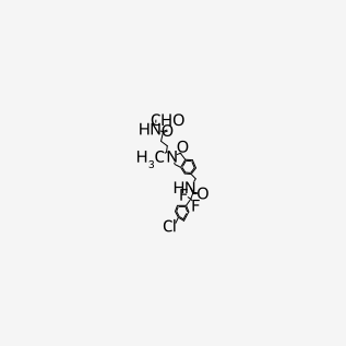 CC(CCC(=O)NC=O)N1Cc2cc(CNC(=O)C(F)(F)c3ccc(Cl)cc3)ccc2C1=O